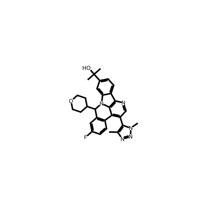 Cc1nnn(C)c1-c1cnc2c3ccc(C(C)(C)O)cc3n3c2c1-c1ccc(F)cc1C3C1CCOCC1